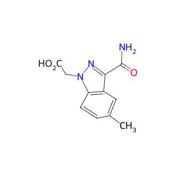 Cc1ccc2c(c1)c(C(N)=O)nn2CC(=O)O